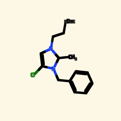 CCCCCCCCCCCCN1C=C(Cl)N(Cc2ccccc2)C1C